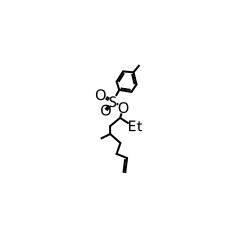 C=CCCC(C)CC(CC)OS(=O)(=O)c1ccc(C)cc1